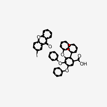 O=C(O)c1cc(Oc2ccccc2)c(Oc2ccccc2)c(Oc2ccccc2)c1-c1ccccc1.O=c1c2ccccc2oc2ccc(I)cc12